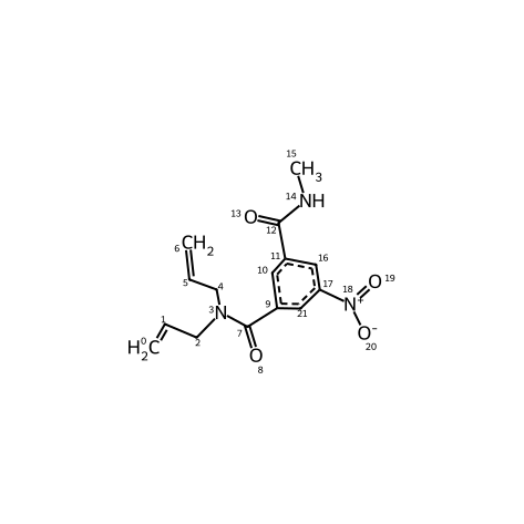 C=CCN(CC=C)C(=O)c1cc(C(=O)NC)cc([N+](=O)[O-])c1